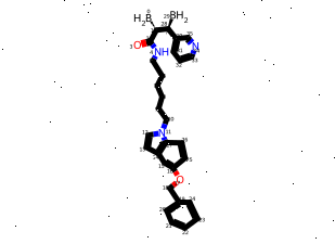 B[C@@H](C(=O)NCCCCCCn1ccc2cc(OCc3ccccc3)ccc21)[C@@H](B)c1cccnc1